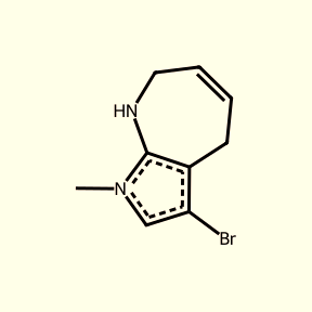 Cn1cc(Br)c2c1NCC=CC2